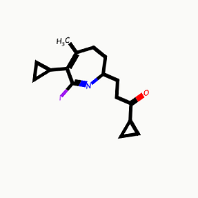 CC1=C(C2CC2)C(I)=NC(CCC(=O)C2CC2)CC1